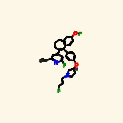 CC(C)(C)c1cc(C2=C(c3ccc(O[C@H]4CCN(CCCF)C4)cc3)c3ccc(OF)cc3CCC2)cc(F)n1